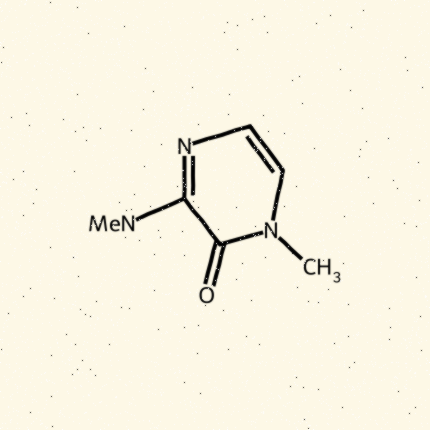 CNc1nccn(C)c1=O